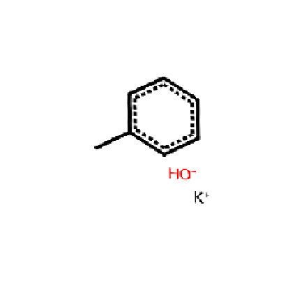 Cc1ccccc1.[K+].[OH-]